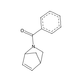 O=C(c1ccccc1)N1CC2C=CC1C2